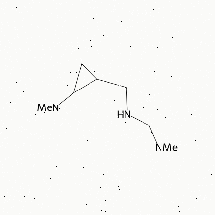 CNCNCC1CC1NC